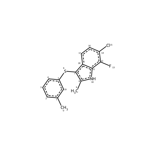 Cc1cccc(Sc2c(C)[nH]c3c(F)c(Cl)ccc23)c1